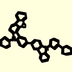 c1ccc(-c2cccc(-n3c4ccccc4c4cc(-c5ccc6c(c5)c5c7oc8ccccc8c7ccc5n6-c5ccccc5)ccc43)c2)cc1